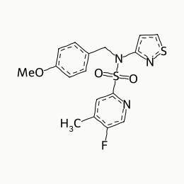 COc1ccc(CN(c2ccsn2)S(=O)(=O)c2cc(C)c(F)cn2)cc1